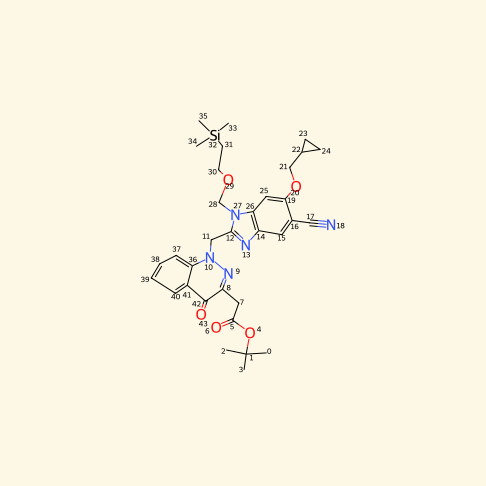 CC(C)(C)OC(=O)Cc1nn(Cc2nc3cc(C#N)c(OCC4CC4)cc3n2COCC[Si](C)(C)C)c2ccccc2c1=O